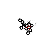 CC1(C)c2cc(N(c3ccc4ccccc4c3)c3ccccc3-c3cc(-c4ccccc4)c4ccccc4c3)ccc2-c2c(-c3ccccc3)cccc21